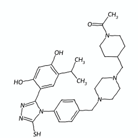 CC(=O)N1CCC(CN2CCN(Cc3ccc(-n4c(S)nnc4-c4cc(C(C)C)c(O)cc4O)cc3)CC2)CC1